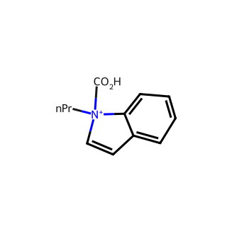 CCC[N+]1(C(=O)O)C=Cc2ccccc21